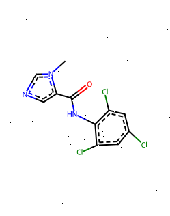 Cn1cncc1C(=O)Nc1c(Cl)cc(Cl)cc1Cl